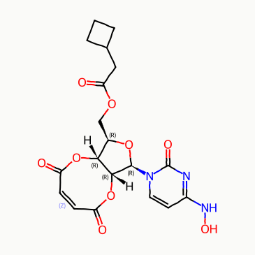 O=C1/C=C\C(=O)O[C@H]2[C@@H](O1)[C@H](n1ccc(NO)nc1=O)O[C@@H]2COC(=O)CC1CCC1